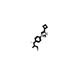 CC(CF)[C@H](C)c1ccc(-n2cc(C3CCC3)nn2)cc1